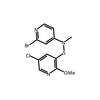 COc1ncc(Cl)cc1SN(C)c1ccnc(Br)c1